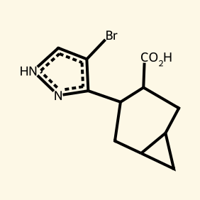 O=C(O)C1CC2CC2CC1c1n[nH]cc1Br